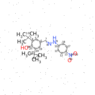 CC(C)(C)c1cc(C=NNc2ccc([N+](=O)[O-])cc2)cc(C(C)(C)C)c1O